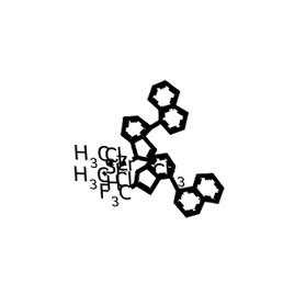 C[SiH](C)[Zr]([Cl])([Cl])([CH]1C(C(F)(F)F)=Cc2c(-c3cccc4ccccc34)cccc21)[CH]1C(C(F)(F)F)=Cc2c(-c3cccc4ccccc34)cccc21